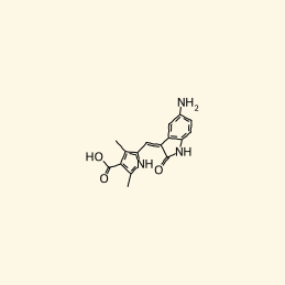 Cc1[nH]c(/C=C2\C(=O)Nc3ccc(N)cc32)c(C)c1C(=O)O